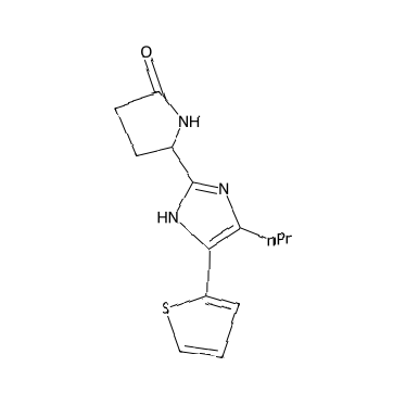 CCCc1nc(C2CCC(=O)N2)[nH]c1-c1cccs1